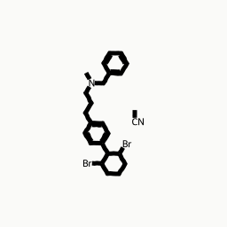 CC#N.CN(CCCc1ccc(C2C(Br)CCCC2Br)cc1)Cc1ccccc1